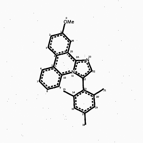 COc1ccc2c3ccccc3n3c(-c4c(C)cc(C)cc4C)cnc3c2c1